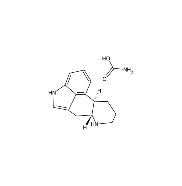 NC(=O)O.c1cc2c3c(c[nH]c3c1)C[C@H]1NCCC[C@H]21